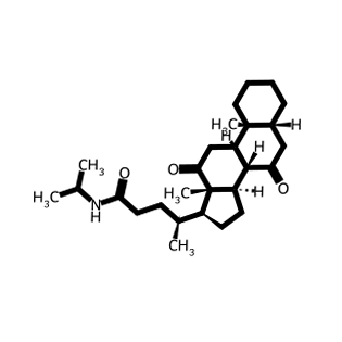 CC(C)NC(=O)CC[C@H](C)[C@@H]1CC[C@@H]2[C@H]3C(=O)C[C@H]4CCCC[C@@]4(C)[C@@H]3CC(=O)[C@]21C